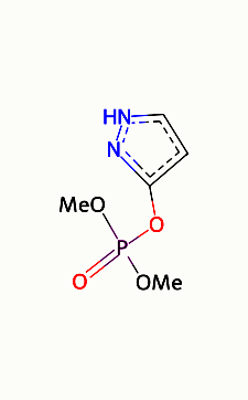 COP(=O)(OC)Oc1cc[nH]n1